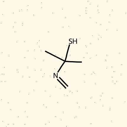 C=NC(C)(C)S